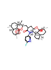 C[C@H]1[C@@H](CC(C[C@H]2O[C@@H]3O[C@]4(C)CC[C@H]5[C@H](C)CC[C@@H]([C@H]2C)[C@@]35OO4)C(=O)Nc2ccc(F)nc2)O[C@@H]2O[C@]3(C)CC[C@H]4[C@H](C)CC[C@@H]1[C@@]24OO3